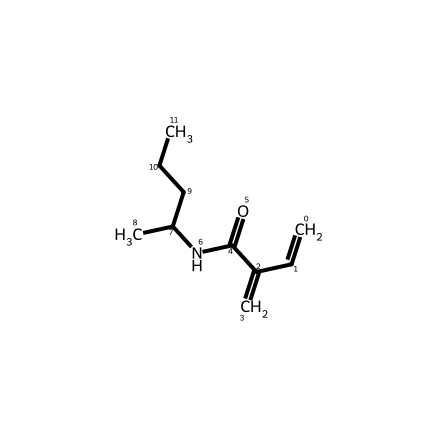 C=CC(=C)C(=O)NC(C)CCC